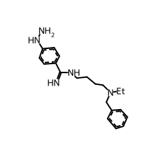 CCN(CCCCNC(=N)c1ccc(NN)cc1)Cc1ccccc1